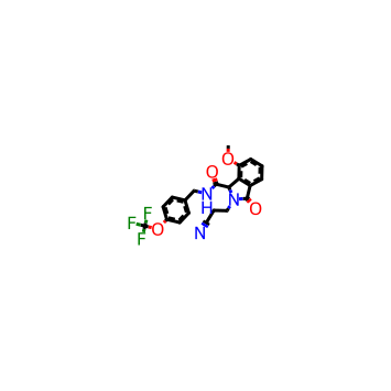 COc1cccc2c1C(C(=O)NCc1ccc(OC(F)(F)F)cc1)N(CCC#N)C2=O